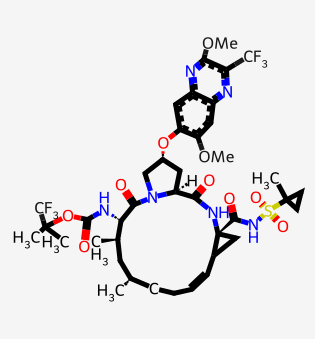 COc1cc2nc(C(F)(F)F)c(OC)nc2cc1O[C@@H]1C[C@H]2C(=O)N[C@]3(C(=O)NS(=O)(=O)C4(C)CC4)CC3/C=C\CC[C@H](C)C[C@@H](C)[C@H](NC(=O)OC(C)(C)C(F)(F)F)C(=O)N2C1